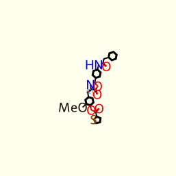 COc1cc(/C=C2/N=C(c3ccc(NC(=O)Cc4ccccc4)cc3)OC2=O)ccc1OC(=O)c1cccs1